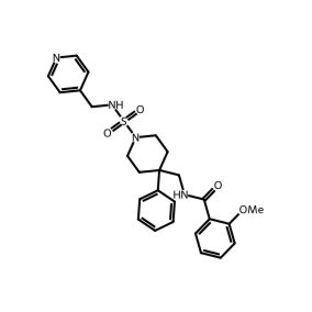 COc1ccccc1C(=O)NCC1(c2ccccc2)CCN(S(=O)(=O)NCc2ccncc2)CC1